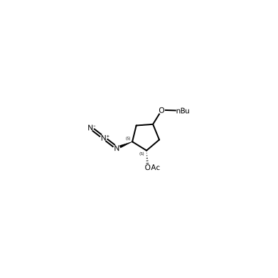 CCCCOC1C[C@H](N=[N+]=[N-])[C@@H](OC(C)=O)C1